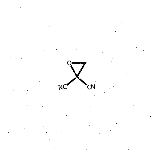 N#CC1(C#N)CO1